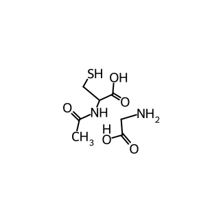 CC(=O)NC(CS)C(=O)O.NCC(=O)O